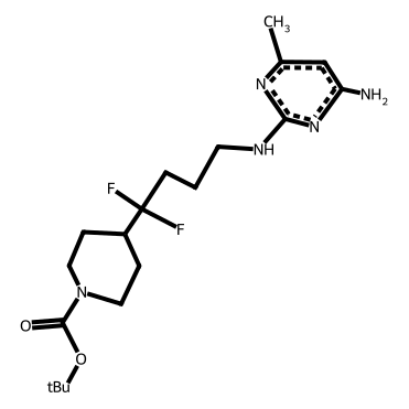 Cc1cc(N)nc(NCCCC(F)(F)C2CCN(C(=O)OC(C)(C)C)CC2)n1